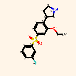 CC(=O)COc1cc(S(=O)(=O)c2cccc(F)c2)ccc1C1CCNC1